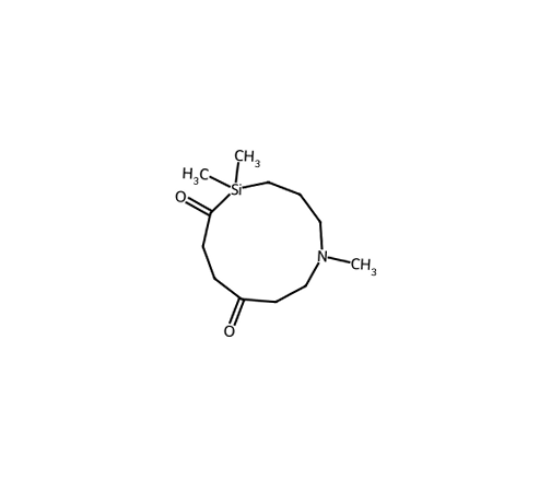 CN1CCC[Si](C)(C)C(=O)CCC(=O)CC1